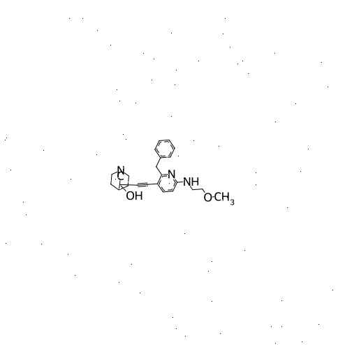 COCCNc1ccc(C#CC2(O)CN3CCC2CC3)c(Cc2ccccc2)n1